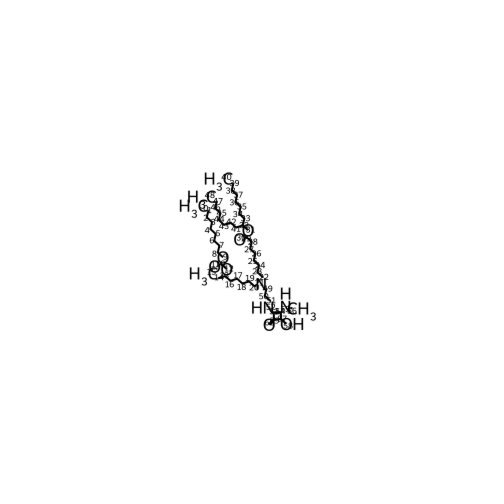 CCCCCCCCCOC(=O)OC(CC)CCCCCN(CCCCCCCC(=O)OC(CCCCCCCC)CCCCCCCC)CCCNC1=C(NC)C(O)C1=O